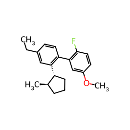 CCc1ccc(-c2cc(OC)ccc2F)c([C@@H]2CCC[C@H]2C)c1